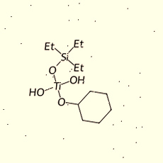 CC[Si](CC)(CC)[O][Ti]([OH])([OH])[O]C1CCCCC1